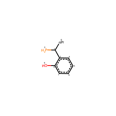 CCCC(P)c1ccccc1O